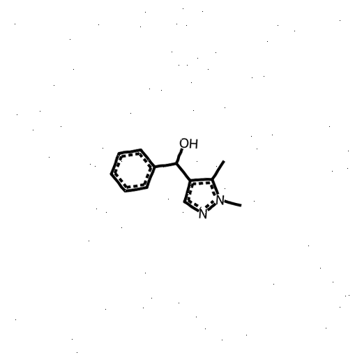 Cc1c(C(O)c2ccccc2)cnn1C